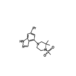 CC(C)c1cc(N2CCN(S(C)(=O)=O)C(C)(C)C2)c2cn[nH]c2c1